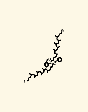 CC(CCCBr)CC(C)CC(C)CC(C)CC(C)CC(C)CCCC(OCc1ccccc1)OC(CCCC(C)CC(C)CC(C)CC(C)CC(C)CC(C)CCCBr)OCc1ccccc1